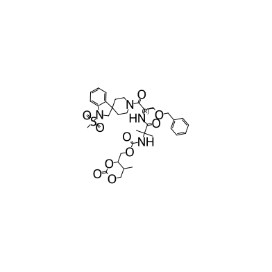 CC1COC(=O)OC1COC(=O)NC(C)(C)C(=O)N[C@H](COCc1ccccc1)C(=O)N1CCC2(CC1)CN(S(C)(=O)=O)c1ccccc12